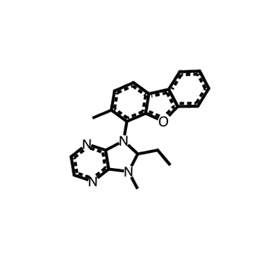 CCC1N(C)c2nccnc2N1c1c(C)ccc2c1oc1ccccc12